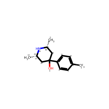 C[C@@H]1CC(O)(c2ccc(C(F)(F)F)cc2)C[C@H](C)N1